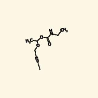 CCNC(=O)OC(C)OCC#CI